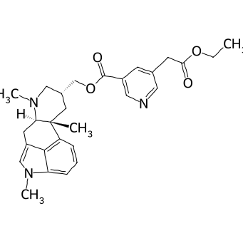 CCOC(=O)Cc1cncc(C(=O)OC[C@H]2CN(C)[C@@H]3Cc4cn(C)c5cccc(c45)[C@@]3(C)C2)c1